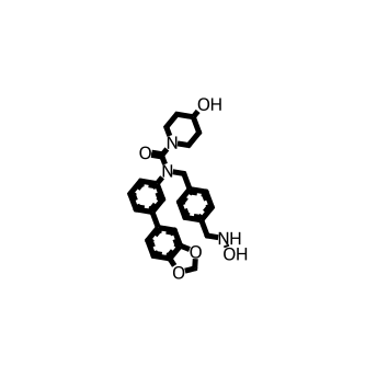 O=C(N1CCC(O)CC1)N(Cc1ccc(CNO)cc1)c1cccc(-c2ccc3c(c2)OCO3)c1